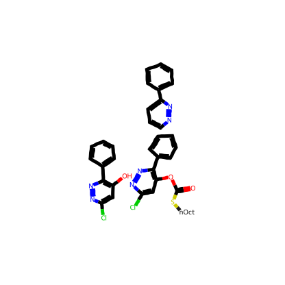 CCCCCCCCSC(=O)Oc1cc(Cl)nnc1-c1ccccc1.Oc1cc(Cl)nnc1-c1ccccc1.c1ccc(-c2cccnn2)cc1